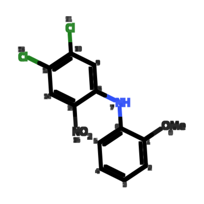 COc1ccccc1Nc1cc(Cl)c(Cl)cc1[N+](=O)[O-]